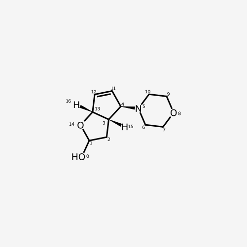 OC1C[C@H]2[C@H](N3CCOCC3)C=C[C@H]2O1